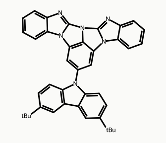 CC(C)(C)c1ccc2c(c1)c1cc(C(C)(C)C)ccc1n2-c1cc2c3c(c1)n1c4ccccc4nc1n3c1nc3ccccc3n21